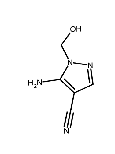 N#Cc1cnn(CO)c1N